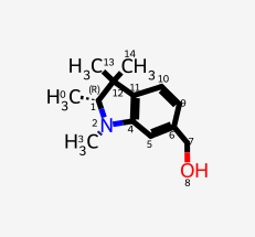 C[C@H]1N(C)c2cc(CO)ccc2C1(C)C